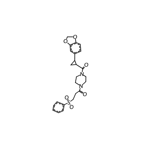 O=C(CCS(=O)(=O)c1ccccc1)N1CCN(C(=O)C2CC2c2ccc3c(c2)OCO3)CC1